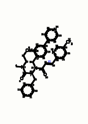 COCCN(C)C(=O)[C@H](Cc1ccccc1)N(Cc1ccc(-c2ccncc2)cc1)C(=O)/C=C/c1ccc(C(F)(F)F)cn1